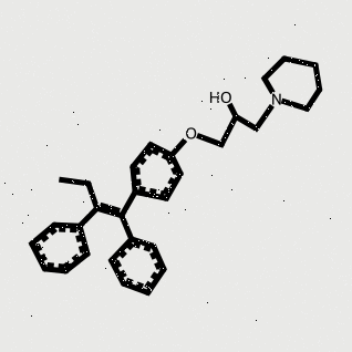 CCC(=C(c1ccccc1)c1ccc(OCC(O)CN2CCCCC2)cc1)c1ccccc1